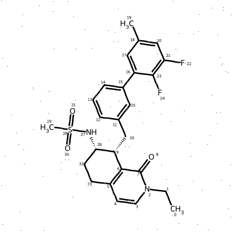 CCn1ccc2c(c1=O)[C@@H](Cc1cccc(-c3cc(C)cc(F)c3F)c1)[C@@H](NS(C)(=O)=O)CC2